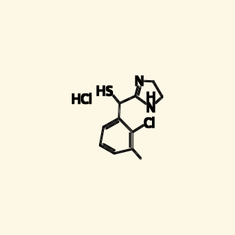 Cc1cccc(C(S)C2=NCCN2)c1Cl.Cl